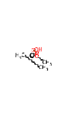 CCCCCCCCCCCC.CCCCCOc1ccccc1S(=O)(=O)O